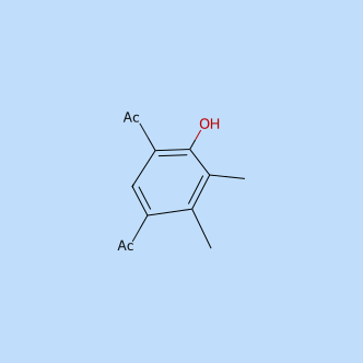 CC(=O)c1cc(C(C)=O)c(O)c(C)c1C